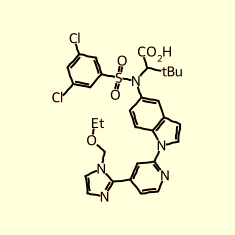 CCOCn1ccnc1-c1ccnc(-n2ccc3cc(N(C(C(=O)O)C(C)(C)C)S(=O)(=O)c4cc(Cl)cc(Cl)c4)ccc32)c1